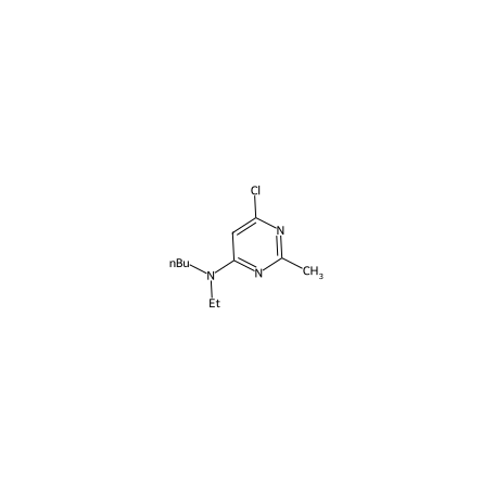 CCCCN(CC)c1cc(Cl)nc(C)n1